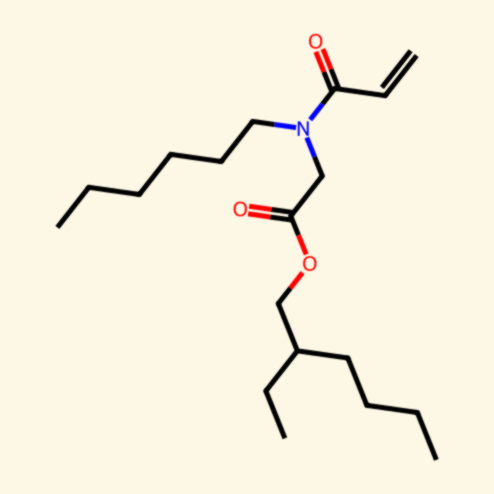 C=CC(=O)N(CCCCCC)CC(=O)OCC(CC)CCCC